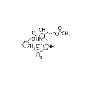 CCc1c[nH]c(Cc2[nH]c(C(=O)OCc3ccccc3)c(C)c2CCCOC(C)=O)c1CC